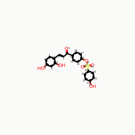 O=C(/C=C/c1ccc(O)cc1O)c1ccc(OS(=O)(=O)c2ccc(O)cc2)cc1